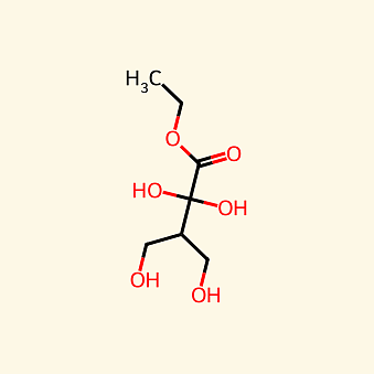 CCOC(=O)C(O)(O)C(CO)CO